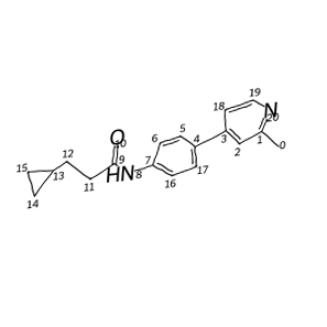 Cc1cc(-c2ccc(NC(=O)CCC3CC3)cc2)ccn1